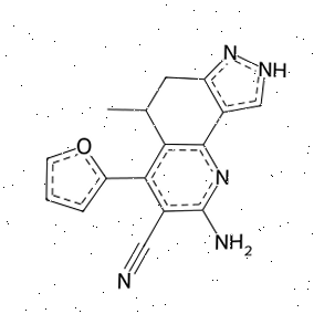 CC1Cc2n[nH]cc2-c2nc(N)c(C#N)c(-c3ccco3)c21